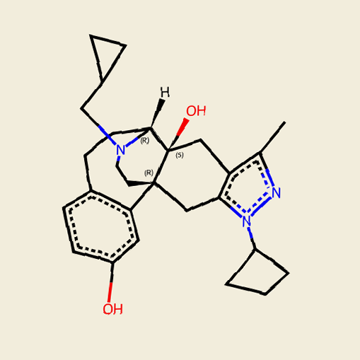 Cc1nn(C2CCC2)c2c1C[C@@]1(O)[C@H]3CCc4ccc(O)cc4[C@@]1(CCN3CC1CC1)C2